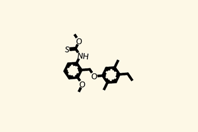 CCc1cc(C)c(OCc2c(NC(=S)OC)cccc2OC)cc1C